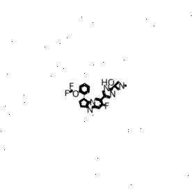 CN1CC(O)(c2ncc(-c3cn4c5c(nc4cc3F)CC[C@@H]5c3ccccc3OC(F)F)cn2)C1